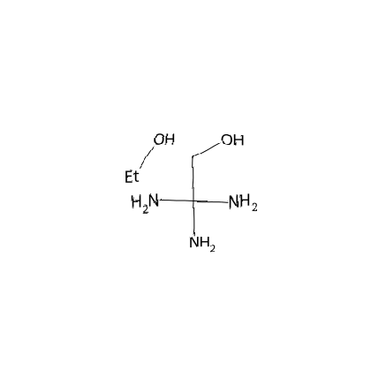 CCO.NC(N)(N)CO